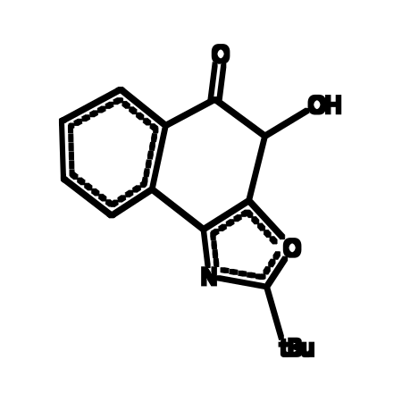 CC(C)(C)c1nc2c(o1)C(O)C(=O)c1ccccc1-2